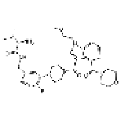 COCCn1cc(C(=O)N2CCC(c3cc(CNC(=O)[C@H](N)C(C)C)ccc3F)CC2)c2c(C(=O)N3CCOCC3)cccc21